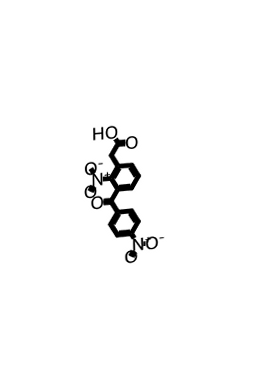 O=C(O)Cc1cccc(C(=O)c2ccc([N+](=O)[O-])cc2)c1[N+](=O)[O-]